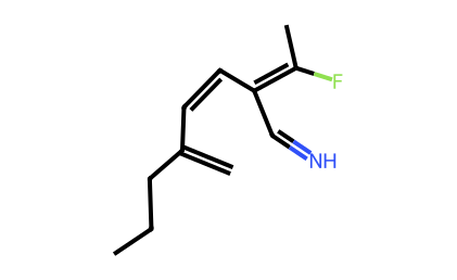 C=C(/C=C\C(C=N)=C(/C)F)CCC